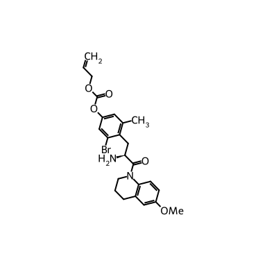 C=CCOC(=O)Oc1cc(C)c(C[C@H](N)C(=O)N2CCCc3cc(OC)ccc32)c(Br)c1